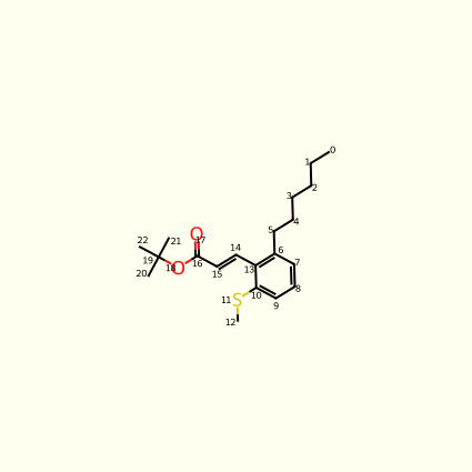 CCCCCCc1cccc(SC)c1/C=C/C(=O)OC(C)(C)C